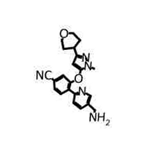 Cn1nc(C2CCOCC2)cc1Oc1cc(C#N)ccc1-c1ccc(CN)cn1